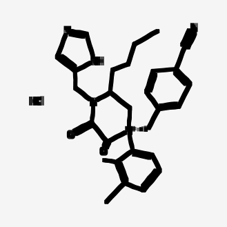 CCCCC1C[N@@+](Cc2ccc(C#N)cc2)(c2cccc(C)c2C)C(=O)C(=O)N1Cc1cnc[nH]1.Cl